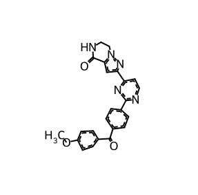 COc1ccc(C(=O)c2ccc(-c3nccc(-c4cc5n(n4)CCNC5=O)n3)cc2)cc1